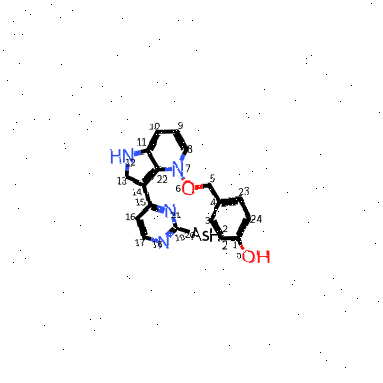 Oc1ccc(CON2C=CC=C3NCC(c4ccnc([AsH2])n4)=C32)cc1